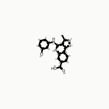 Cc1nsc2c1c(Nc1cccc(Cl)c1)nc1cc(C(=O)O)ccc12